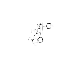 O=C(CN1C(=O)COc2ccccc21)Nc1nnc(-c2ccncc2)[nH]1